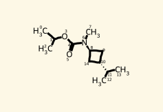 CC(C)OC(=O)N(C)[C@H]1C[C@H](C(C)C)C1